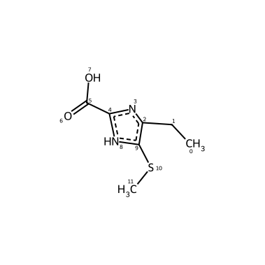 CCc1nc(C(=O)O)[nH]c1SC